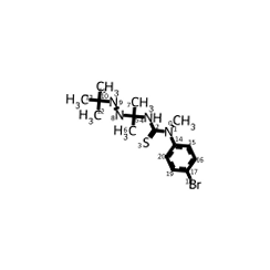 CN(C(=S)NC(C)(C)/N=N/C(C)(C)C)c1ccc(Br)cc1